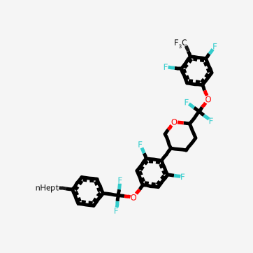 CCCCCCCc1ccc(C(F)(F)Oc2cc(F)c(C3CCC(C(F)(F)Oc4cc(F)c(C(F)(F)F)c(F)c4)OC3)c(F)c2)cc1